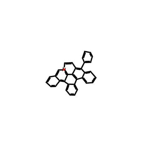 C1=c2ccccc2=C(c2ccccc2-c2c3ccccc3c(-c3ccccc3)c3ccncc23)CC1